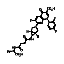 CC(C)C(NC(=O)CCC(=O)N[C@H]1[C@@H]2CN(c3nc4c(cc3F)c(=O)c(C(=O)O)cn4-c3ccc(F)cc3F)C[C@@H]21)C(=O)O